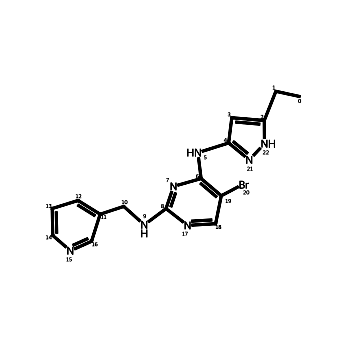 CCc1cc(Nc2nc(NCc3cccnc3)ncc2Br)n[nH]1